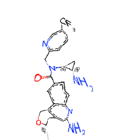 C[C@@H]1OCc2c1c(N)nc1ccc(C(=O)N(Cc3ccc(C(F)(F)F)cn3)[C@H]3C[C@@H]3N)cc21